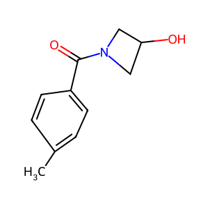 Cc1ccc(C(=O)N2CC(O)C2)cc1